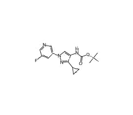 CC(C)(C)OC(=O)Nc1cn(-c2cncc(F)c2)nc1C1CC1